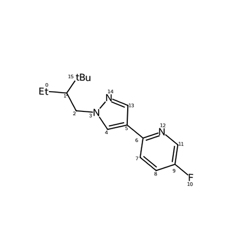 CC[C](Cn1cc(-c2ccc(F)cn2)cn1)C(C)(C)C